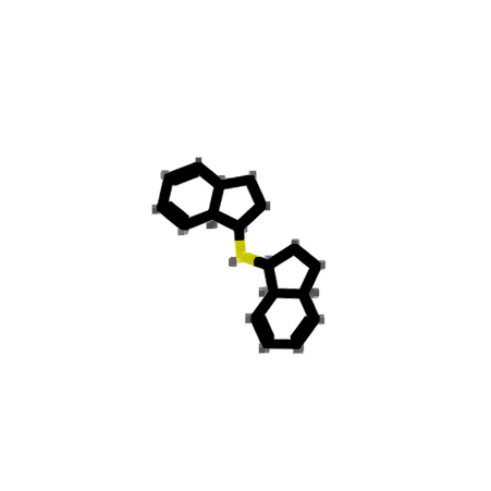 C1=CC2CCC(SC3CCC4C=CC=CC43)C2C=C1